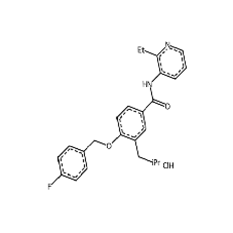 CCc1ncccc1NC(=O)c1ccc(OCc2ccc(F)cc2)c(CC(C)C)c1.Cl